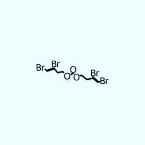 O=C(OCCC(Br)=CBr)OCCC(Br)=CBr